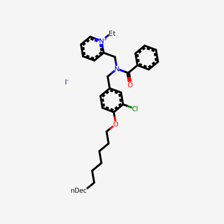 CCCCCCCCCCCCCCCCOc1ccc(CN(Cc2cccc[n+]2CC)C(=O)c2ccccc2)cc1Cl.[I-]